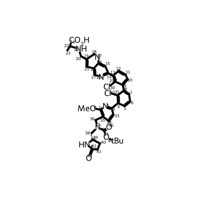 COc1nc(-c2cccc(-c3cccc(-c4cc5ncc(CNC(C)C(=O)O)cc5cn4)c3Cl)c2Cl)ccc1CN(C[C@@H]1CCC(=O)N1)C(=O)OC(C)(C)C